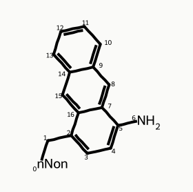 CCCCCCCCCCc1ccc(N)c2cc3ccccc3cc12